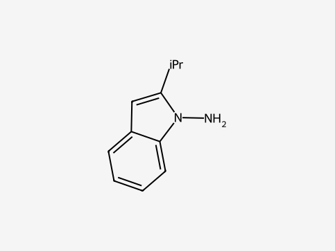 CC(C)c1cc2ccccc2n1N